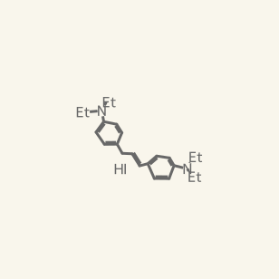 CCN(CC)c1ccc(C=CCc2ccc(N(CC)CC)cc2)cc1.I